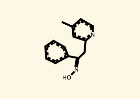 Cc1ccnc(C/C(=N/O)c2ccccc2)c1